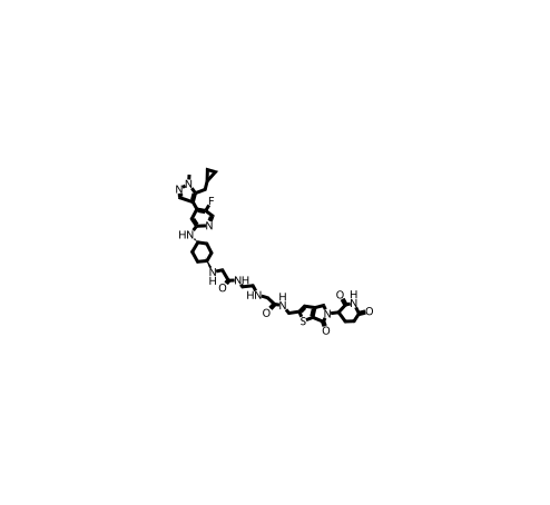 Cn1ncc(-c2cc(N[C@H]3CC[C@H](NCC(=O)NCCNCC(=O)NCc4cc5c(s4)C(=O)N(C4CCC(=O)NC4=O)C5)CC3)ncc2F)c1CC1CC1